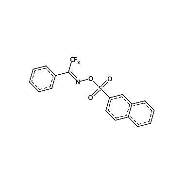 O=S(=O)(O/N=C(/c1ccccc1)C(F)(F)F)c1ccc2ccccc2c1